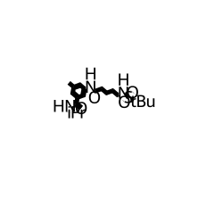 Cc1cc(NC(=O)CCCCNS(=O)(=O)C(C)(C)C)cc(C(=O)NC(C)C)c1